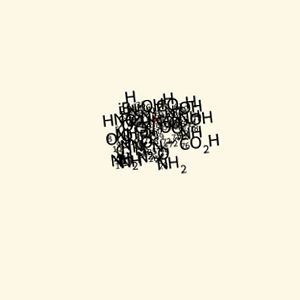 CC[C@H](C)[C@H](NC(=O)CNC(=O)[C@H](Cc1c[nH]cn1)NC(=O)[C@@H](NC(=O)[C@@H](N)CCC(N)=O)C(C)C)C(=O)N[C@@H](CO)C(=O)N1CCC[C@H]1C(=O)N1CCC[C@H]1C(=O)N[C@@H](CC(=O)O)C(=O)N[C@@H](CO)C(=O)N[C@H](C(=O)N[C@@H](CCCCN)C(=O)O)[C@@H](C)O